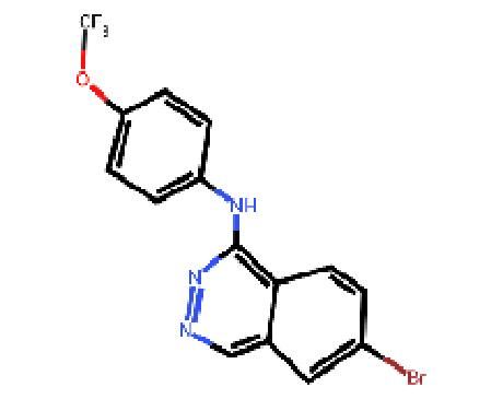 FC(F)(F)Oc1ccc(Nc2nncc3cc(Br)ccc23)cc1